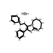 Br.c1ccc(CCC2=C(c3ccccc3)S/C3=N/CCCCCN23)cc1